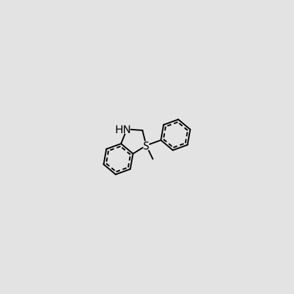 CS1(c2ccccc2)CNc2ccccc21